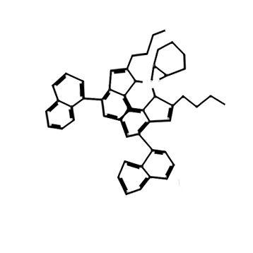 CCCCC1=Cc2c(-c3cccc4ccccc34)cccc2[CH]1[Zr+2]1([CH]2C(CCCC)=Cc3c(-c4cccc5ccccc45)cccc32)[CH]2CCCC[CH]21.[Cl-].[Cl-]